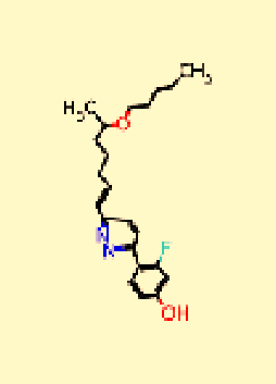 CCCCCOC(C)CCC/C=C/c1ccc(-c2ccc(O)cc2F)nn1